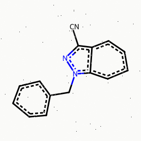 N#Cc1nn(Cc2ccccc2)c2ccccc12